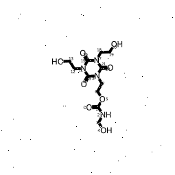 O=C(NCO)OCCn1c(=O)n(CCO)c(=O)n(CCO)c1=O